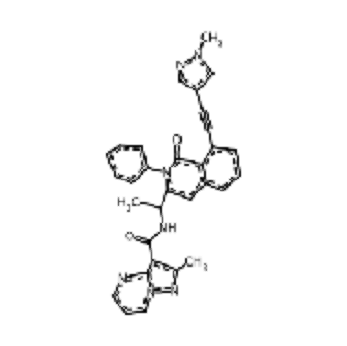 Cc1nn2cccnc2c1C(=O)NC(C)c1cc2cccc(C#Cc3cnn(C)c3)c2c(=O)n1-c1ccccc1